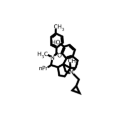 CCCC(C1CCC2(C)C3Cc4ccc(O)cc4C12CCN3CC1CC1)N(C)C(=O)c1ccc(C)cc1